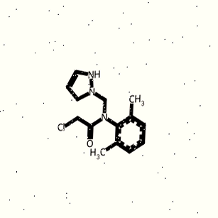 Cc1cccc(C)c1N(CN1CC=CN1)C(=O)CCl